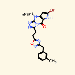 CCCCCn1c2cc(Br)[nH]c2c(=O)n2c(CCc3nc(Cc4cccc(C)c4)no3)nnc12